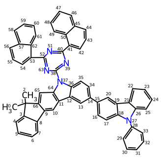 CC1(C)c2ccccc2-c2cc3c4cc(-c5ccc6c(c5)c5ccccc5n6-c5ccccc5)ccc4n(-c4nc(-c5cccc6ccccc56)nc(-c5cccc6ccccc56)n4)c3cc21